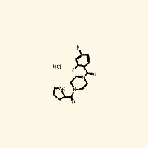 Cl.O=C(c1ccc(F)cc1F)N1CCN(C(=O)C2CCCN2)CC1